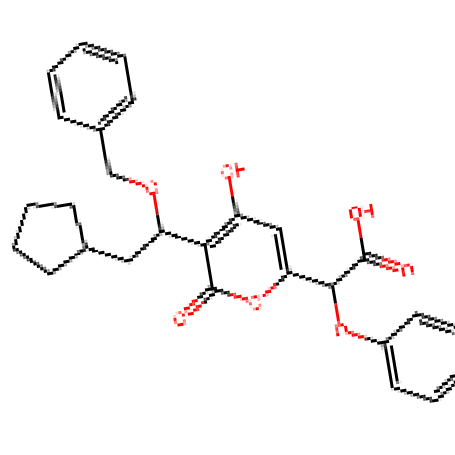 O=C(O)C(Oc1ccccc1)c1cc(O)c(C(CC2CCCC2)OCc2ccccc2)c(=O)o1